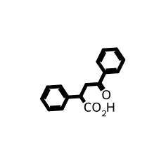 O=C(CC(C(=O)O)c1ccccc1)c1ccccc1